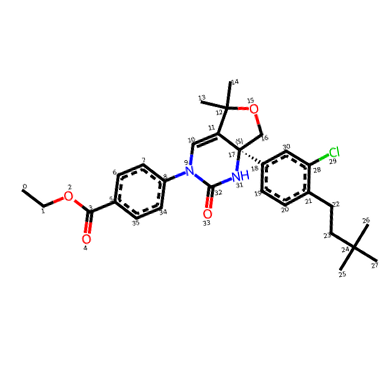 CCOC(=O)c1ccc(N2C=C3C(C)(C)OC[C@@]3(c3ccc(CCC(C)(C)C)c(Cl)c3)NC2=O)cc1